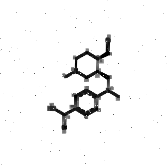 CN1CC[C@@H](C=O)[C@@H](CN(C)c2ccc(C(=O)O)cc2)C1